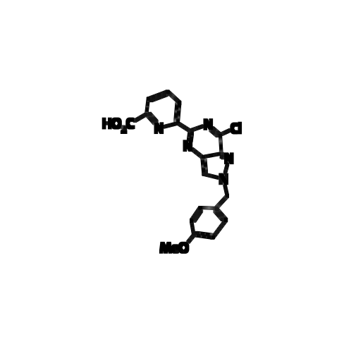 COc1ccc(Cn2cc3nc(-c4cccc(C(=O)O)n4)nc(Cl)c3n2)cc1